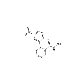 O=C(NO)c1ccccc1-c1cccc([N+](=O)[O-])c1